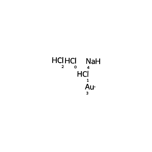 Cl.Cl.Cl.[Au].[NaH]